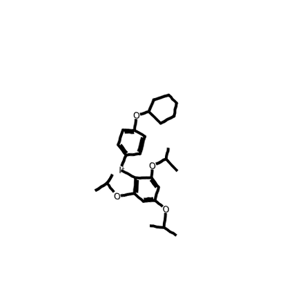 CC(C)Oc1cc(OC(C)C)c([I+]c2ccc(OC3CCCCC3)cc2)c(OC(C)C)c1